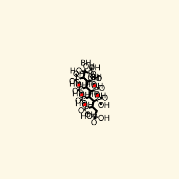 B.O=P(O)(O)CC(C(C(C(C(C(C(C(O)(O)P(=O)(O)O)P(=O)(O)O)P(=O)(O)O)P(=O)(O)O)P(=O)(O)O)P(=O)(O)O)P(=O)(O)O)P(=O)(O)O